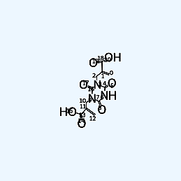 C=C(Cn1c(=O)[nH]c(=O)n(CC(=C)C(=O)O)c1=O)C(=O)O